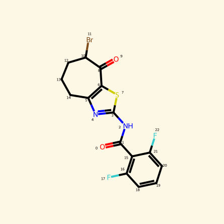 O=C(Nc1nc2c(s1)C(=O)C(Br)CCC2)c1c(F)cccc1F